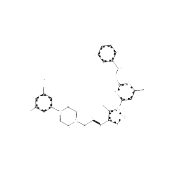 Cc1cc(-n2ncc(C=CCN3CCN(c4cc(F)cc(F)c4)CC3)c2C)nc(OCc2ccccc2)n1